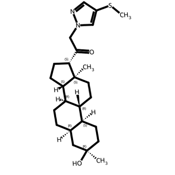 CSc1cnn(CC(=O)[C@H]2CC[C@H]3[C@@H]4CC[C@@H]5C[C@](C)(O)CC[C@@H]5[C@H]4CC[C@]23C)c1